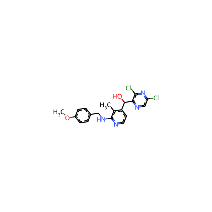 COc1ccc(CNc2nccc(C(O)c3ncc(Cl)nc3Cl)c2C)cc1